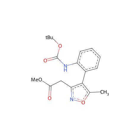 COC(=O)Cc1noc(C)c1-c1ccccc1NC(=O)OC(C)(C)C